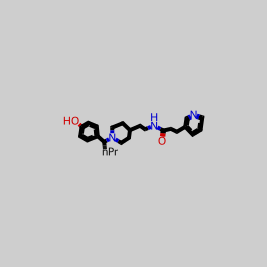 CCCC(c1ccc(O)cc1)N1CCC(CCNC(=O)CCc2cccnc2)CC1